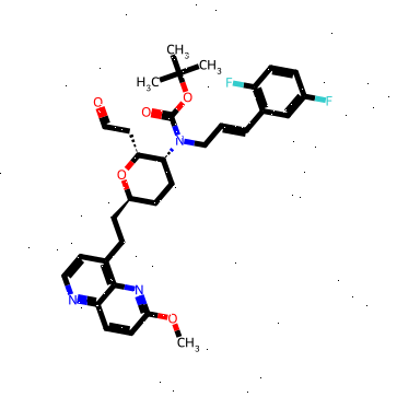 COc1ccc2nccc(CC[C@@H]3CC[C@@H](N(C/C=C/c4cc(F)ccc4F)C(=O)OC(C)(C)C)[C@@H](CC=O)O3)c2n1